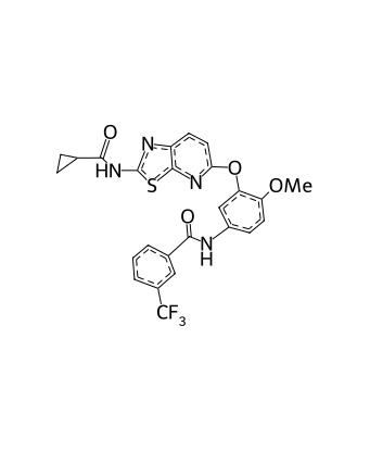 COc1ccc(NC(=O)c2cccc(C(F)(F)F)c2)cc1Oc1ccc2nc(NC(=O)C3CC3)sc2n1